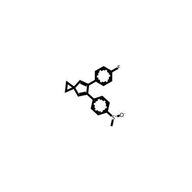 C[S+]([O-])c1ccc(C2=CC3(C=C2c2ccc(F)cc2)CC3)cc1